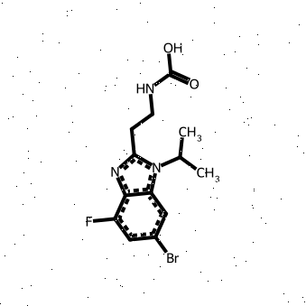 CC(C)n1c(CCNC(=O)O)nc2c(F)cc(Br)cc21